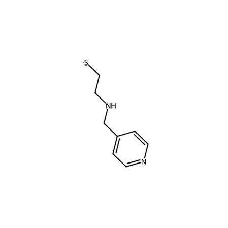 [S]CCNCc1ccncc1